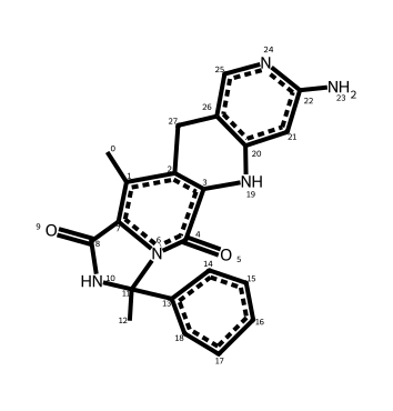 Cc1c2c(c(=O)n3c1C(=O)NC3(C)c1ccccc1)Nc1cc(N)ncc1C2